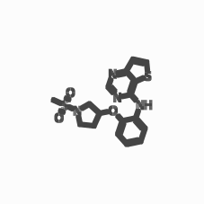 CS(=O)(=O)N1CCC(Oc2ccccc2Nc2ncnc3ccsc23)C1